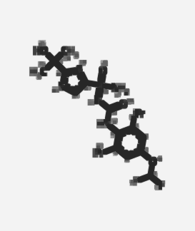 CC(C)c1cc(OC(F)F)cc(C(C)C)c1NC(=O)N=S(N)(=O)c1cnc(C(C)(C)O)s1